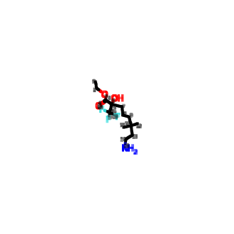 CCOC(=O)C(O)(CCCC(C)(C)CCN)C(F)(F)F